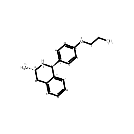 CCCOc1ccc([C@@H]2N[C@@H](C)Cc3ccccc32)cc1